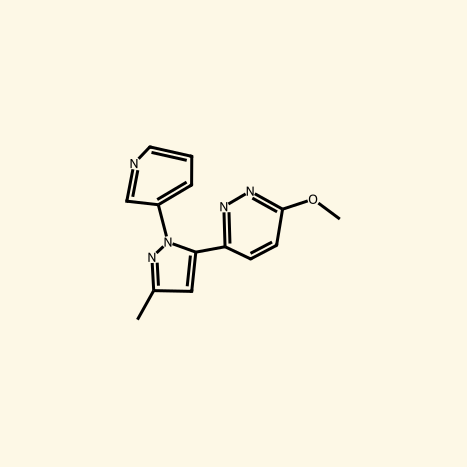 COc1ccc(-c2cc(C)nn2-c2cccnc2)nn1